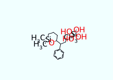 CCC(c1ccccc1)C1CCC[Si](C)(C)O1.O[Si](O)(O)O